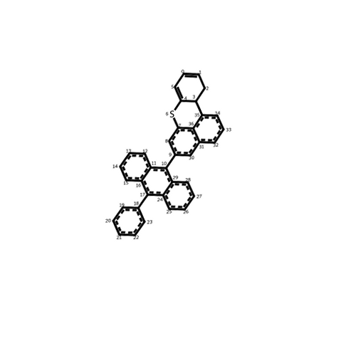 C1=CCC2C(=C1)Sc1cc(-c3c4ccccc4c(-c4ccccc4)c4ccccc34)cc3cccc2c13